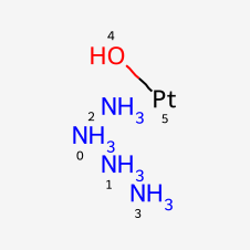 N.N.N.N.[OH][Pt]